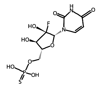 O=c1ccn([C@@H]2O[C@H](COP(O)(O)=S)[C@@H](O)[C@]2(O)F)c(=O)[nH]1